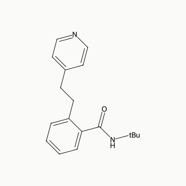 CC(C)(C)NC(=O)c1ccccc1CCc1ccncc1